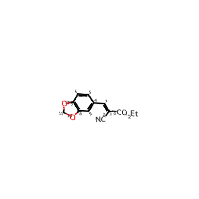 CCOC(=O)C(C#N)=Cc1ccc2c(c1)OCO2